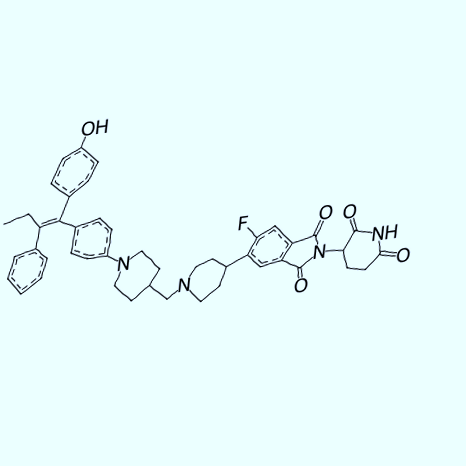 CCC(=C(c1ccc(O)cc1)c1ccc(N2CCC(CN3CCC(c4cc5c(cc4F)C(=O)N(C4CCC(=O)NC4=O)C5=O)CC3)CC2)cc1)c1ccccc1